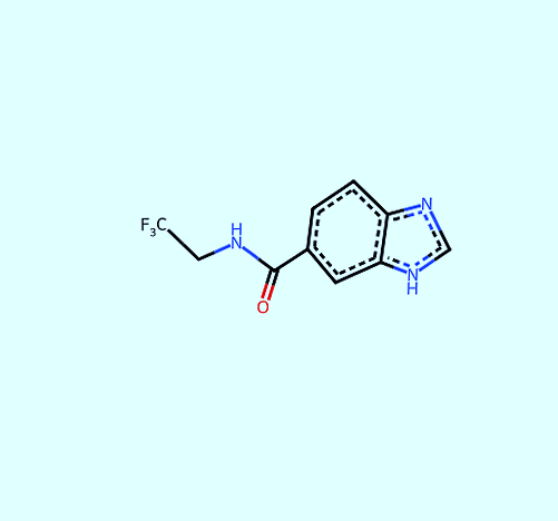 O=C(NCC(F)(F)F)c1ccc2nc[nH]c2c1